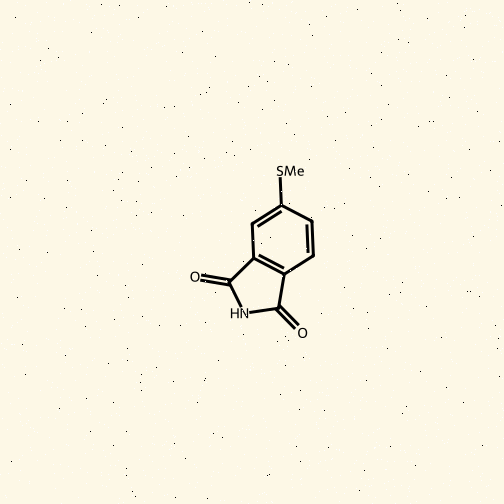 CSc1ccc2c(c1)C(=O)NC2=O